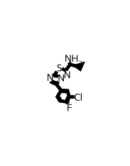 NC(c1nn2c(-c3ccc(F)c(Cl)c3)cnc2s1)C1CC1